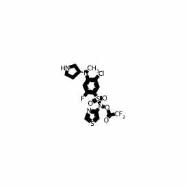 CN(c1cc(F)c(S(=O)(=O)N(OC(=O)C(F)(F)F)c2cscn2)cc1Cl)[C@@H]1CCNC1